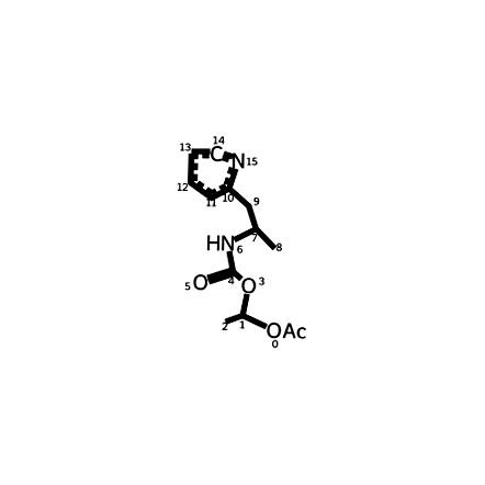 CC(=O)OC(C)OC(=O)NC(C)Cc1ccccn1